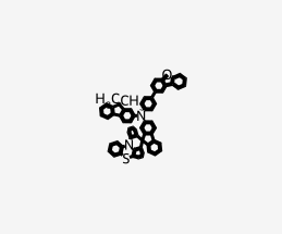 CC1(C)c2ccccc2-c2ccc(N(c3ccc(-c4ccc5oc6ccccc6c5c4)cc3)c3ccc4c(c3)C3(c5ccccc5-4)c4ccccc4N4c5ccccc5Sc5cccc3c54)cc21